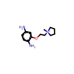 C[N+]1(CCOc2cc(N)ccc2N)CCCC1